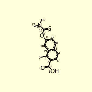 Cc1c(C(=O)O)ccc2ccc(OC(=S)N(C)C)cc12